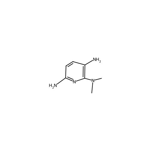 CN(C)c1nc(N)ccc1N